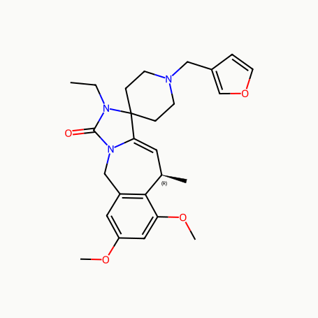 CCN1C(=O)N2Cc3cc(OC)cc(OC)c3[C@H](C)C=C2C12CCN(Cc1ccoc1)CC2